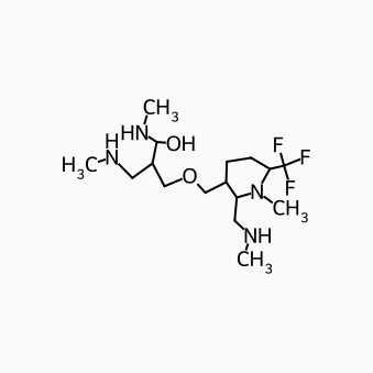 CNCC(COCC1CCC(C(F)(F)F)N(C)C1CNC)C(O)NC